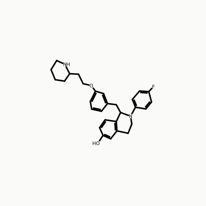 Oc1ccc2c(c1)CCN(c1ccc(F)cc1)C2Cc1cccc(OCCC2CCCCN2)c1